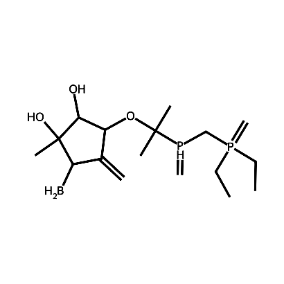 BC1C(=C)C(OC(C)(C)[PH](=C)CP(=C)(CC)CC)C(O)C1(C)O